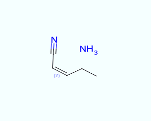 CC/C=C\C#N.N